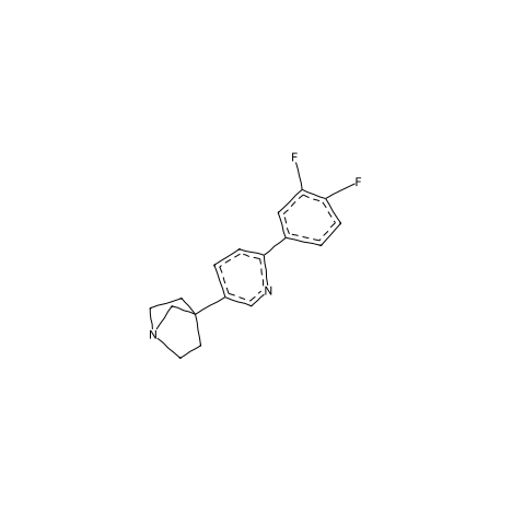 Fc1ccc(-c2ccc(C34CCN(CC3)C4)cn2)cc1F